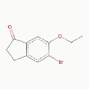 CCOc1cc2c(cc1Br)CCC2=O